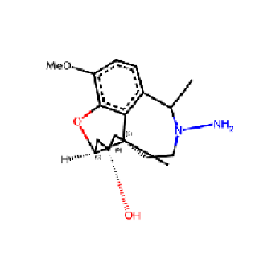 COc1ccc2c3c1O[C@H]1C[C@@H](O)C(C)[C@@]31CCN(N)C2C